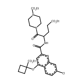 CCOC(=O)CCC(NC(=O)c1cc(OC2(C(=O)OCC)CCC2)c2ccc(Cl)cc2n1)C(=O)N1CCN(C(=O)OCC)CC1